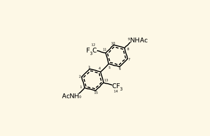 CC(=O)Nc1ccc(-c2ccc(NC(C)=O)cc2C(F)(F)F)c(C(F)(F)F)c1